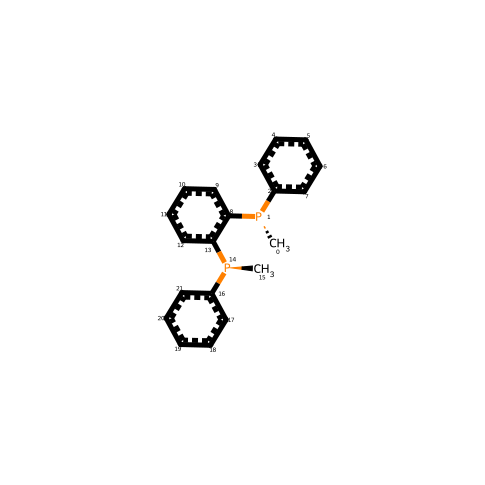 C[P@@](c1ccccc1)c1ccccc1[P@@](C)c1ccccc1